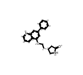 O=C1C[C@@H](CCOc2cc(-c3ccccc3)cc3ncccc23)CN1